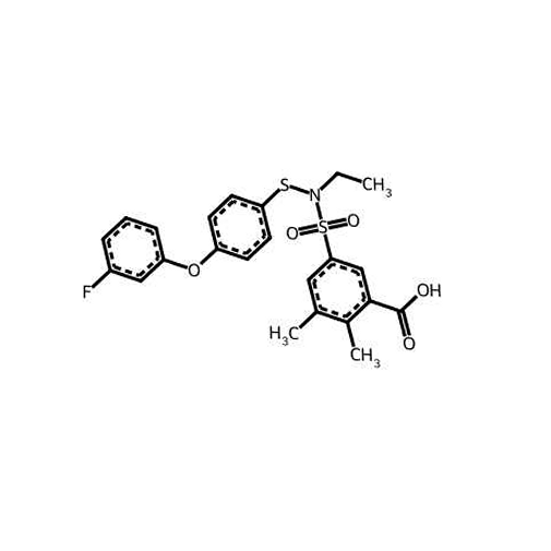 CCN(Sc1ccc(Oc2cccc(F)c2)cc1)S(=O)(=O)c1cc(C)c(C)c(C(=O)O)c1